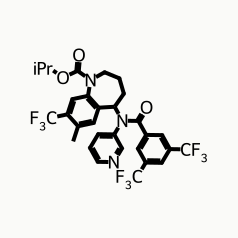 Cc1cc2c(cc1C(F)(F)F)N(C(=O)OC(C)C)CCCC2N(C(=O)c1cc(C(F)(F)F)cc(C(F)(F)F)c1)c1cccnc1